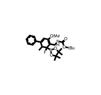 COC1=C(CNC(=O)OC(C)(C)C)C(F)(B2OC(C)(C)C(C)(C)O2)C(C)C(c2ccccc2)=C1